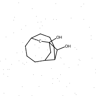 OC1C2CCCC3CCCC2CC1(O)C3